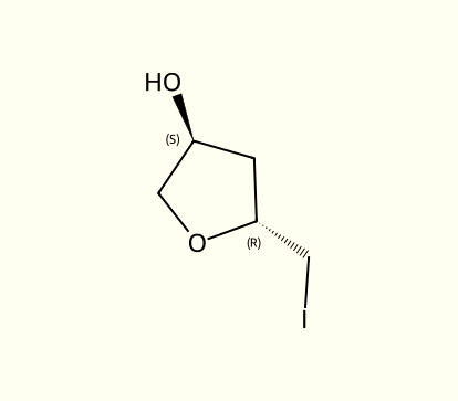 O[C@@H]1CO[C@@H](CI)C1